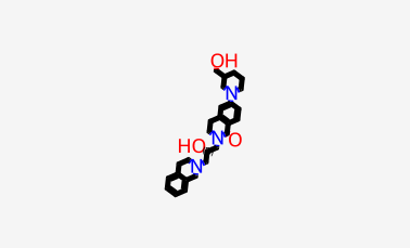 O=C1c2ccc(N3CCCC(CO)C3)cc2CCN1C[C@H](O)CN1CCc2ccccc2C1